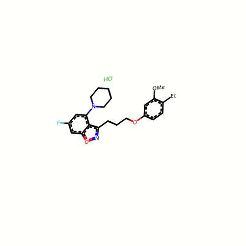 CCc1ccc(OCCCc2noc3cc(F)cc(N4CCCCC4)c23)cc1OC.Cl